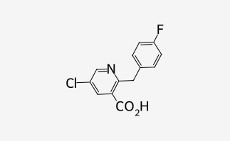 O=C(O)c1cc(Cl)cnc1Cc1ccc(F)cc1